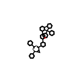 c1ccc(C2=NC(c3ccccc3)C3CC3C(c3cccc(-c4ccc(-c5cccc6c5C(c5ccccc5)(c5ccccc5)c5ccccc5-6)cc4)c3)=N2)cc1